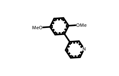 COc1ccc(OC)c(-c2cccnc2)c1